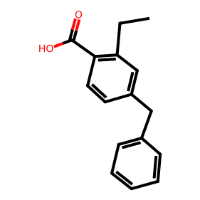 CCc1cc(Cc2ccccc2)ccc1C(=O)O